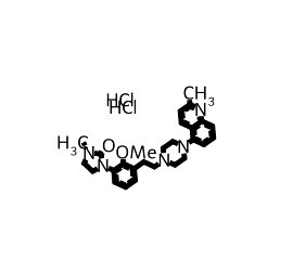 COc1c(CCN2CCN(c3cccc4nc(C)ccc34)CC2)cccc1N1CCN(C)C1=O.Cl.Cl